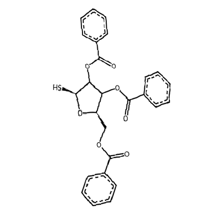 O=C(OC[C@H]1O[C@@H](S)C(OC(=O)c2ccccc2)C1OC(=O)c1ccccc1)c1ccccc1